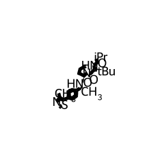 Cc1ncsc1-c1ccc(C(C)NC(=O)[C@@H]2CCCN2C(=O)C(NC(=O)C(C)C)C(C)(C)C)cc1